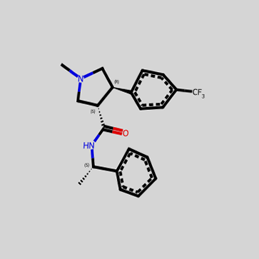 C[C@H](NC(=O)[C@@H]1CN(C)C[C@H]1c1ccc(C(F)(F)F)cc1)c1ccccc1